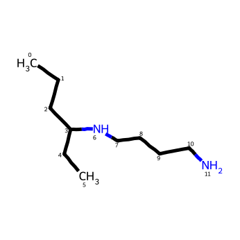 CCCC(CC)NCCCCN